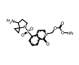 CCCOC(=O)OCn1ccc2c(S(=O)(=O)N3CCC(N)C34CC4)cccc2c1=O